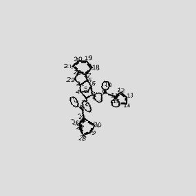 O=C(OC1C2CC(C1OC(=O)c1ccco1)C1c3ccccc3CC21)c1ccccc1